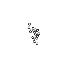 c1ccc(-c2cccc(-c3c4ccccc4c(-c4cc5cc(-c6c7ccccc7c(-c7cccc(-c8ccccc8)c7)c7ccccc67)c6oc7ccccc7c6c5c5c4oc4ccccc45)c4ccccc34)c2)cc1